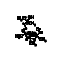 CC(C)(O)CCOC(C)(C)CC(C)(C)CC(C)(C)C=O